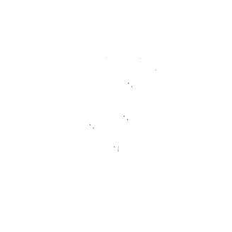 Cc1ccc(C2N(c3ccnc(NC(C)c4ccccc4)n3)C(=O)OC2(C)C)cc1